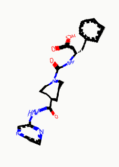 O=C(Nc1cnccn1)C1CCN(C(=O)N[C@@H](Cc2ccccc2)C(=O)O)CC1